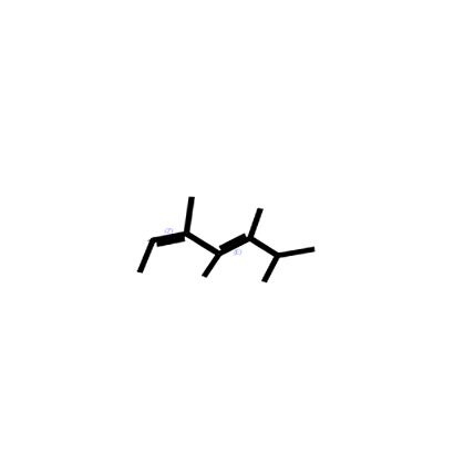 C/[C]=C(C)\C(C)=C(/C)C(C)C